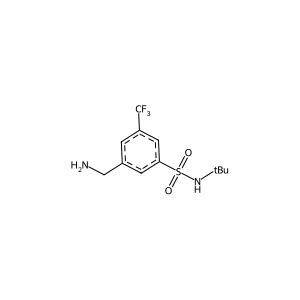 CC(C)(C)NS(=O)(=O)c1cc(CN)cc(C(F)(F)F)c1